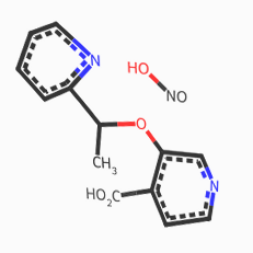 CC(Oc1cnccc1C(=O)O)c1ccccn1.O=NO